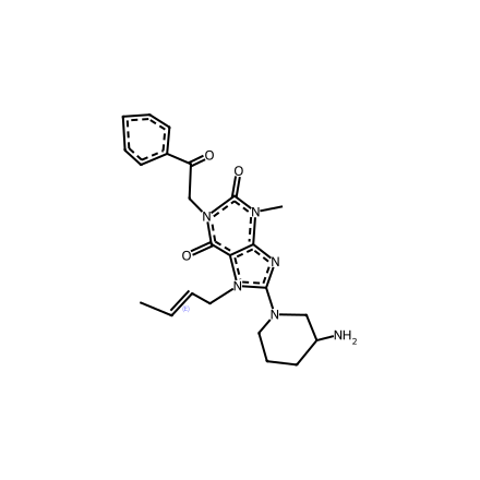 C/C=C/Cn1c(N2CCCC(N)C2)nc2c1c(=O)n(CC(=O)c1ccccc1)c(=O)n2C